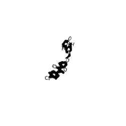 O=c1c(-c2ccc(Cl)cc2)coc2cc(OCCN3C[C@@H]4C[C@@H](C3)c3cccc(=O)n3C4)ccc12